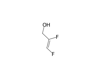 OCC(F)=CF